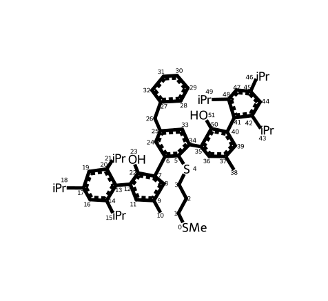 CSCCCSc1c(-c2cc(C)cc(-c3c(C(C)C)cc(C(C)C)cc3C(C)C)c2O)cc(Cc2ccccc2)cc1-c1cc(C)cc(-c2c(C(C)C)cc(C(C)C)cc2C(C)C)c1O